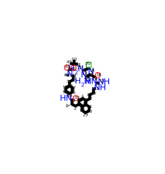 C[C@@H](Cc1ccc(CCCCNC(=N)NC(=O)c2nc(Cl)c(N)nc2N)c2c1CCCC2)C(=O)Nc1ccc(CCCN(C)C(=O)OC(C)(C)C)cc1